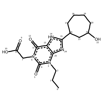 CCCn1c(=O)n(CC(=O)O)c(=O)c2[nH]c(C3CCCCC(O)C3)nc21